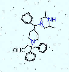 CC1CN(C(c2ccccc2)C2CCN(C(CC=O)(c3ccccc3)c3ccccc3)CC2)CC(C)N1